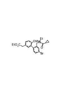 CCOC(=O)Cc1ccc(OC)c(-c2ccc(Br)cc2CN(CC)C(=O)C2CC2)c1